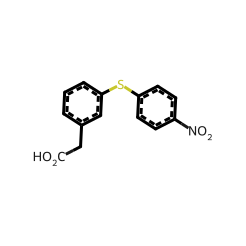 O=C(O)Cc1cccc(Sc2ccc([N+](=O)[O-])cc2)c1